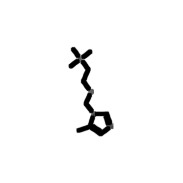 Cc1cncn1COCC[Si](C)(C)C